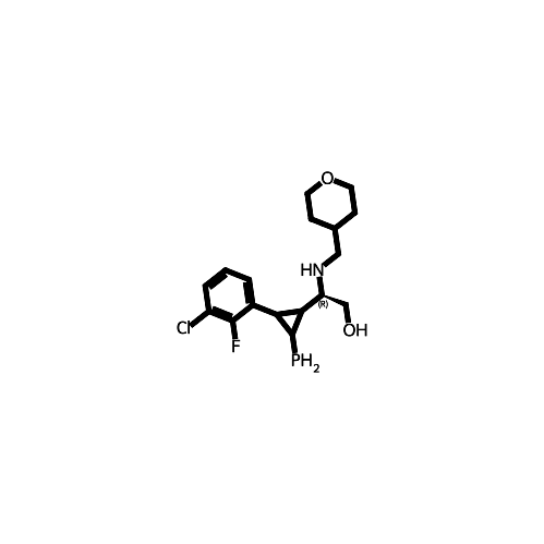 OC[C@H](NCC1CCOCC1)C1C(P)C1c1cccc(Cl)c1F